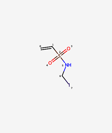 C=CS(=O)(=O)NCI